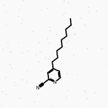 CCCCCCCCCc1ccnc(C#N)c1